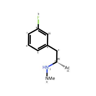 CNN[C@H](Cc1cccc(F)c1)C(C)=O